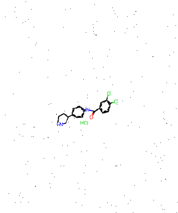 Cl.O=C(Nc1ccc(C2CCCNC2)cc1)c1ccc(Cl)c(Cl)c1